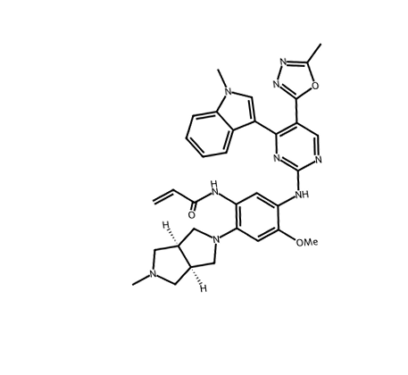 C=CC(=O)Nc1cc(Nc2ncc(-c3nnc(C)o3)c(-c3cn(C)c4ccccc34)n2)c(OC)cc1N1C[C@H]2CN(C)C[C@H]2C1